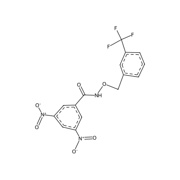 O=C(NOCc1cccc(C(F)(F)F)c1)c1cc([N+](=O)[O-])cc([N+](=O)[O-])c1